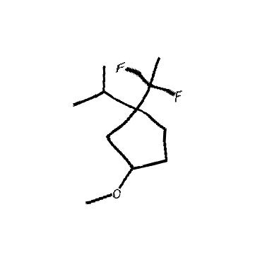 COC1CCC(C(C)C)(C(C)(F)F)C1